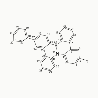 Cc1ccc2c(c1)-c1ccccc1B1c3ccc(-c4ccccc4)cc3-c3ccccc3N12